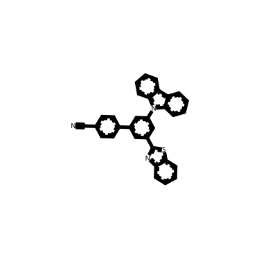 N#Cc1ccc(-c2cc(-c3nc4ccccc4s3)cc(-n3c4ccccc4c4ccccc43)c2)cc1